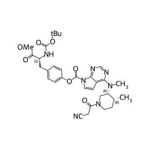 COC(=O)[C@H](Cc1ccc(OC(=O)n2ccc3c(N(C)[C@H]4CN(C(=O)CC#N)CC[C@H]4C)ncnc32)cc1)NC(=O)OC(C)(C)C